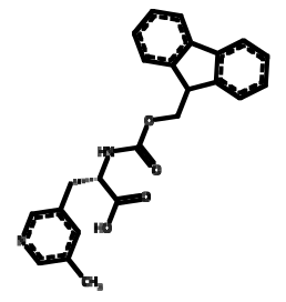 Cc1cncc(C[C@H](NC(=O)OCC2c3ccccc3-c3ccccc32)C(=O)O)c1